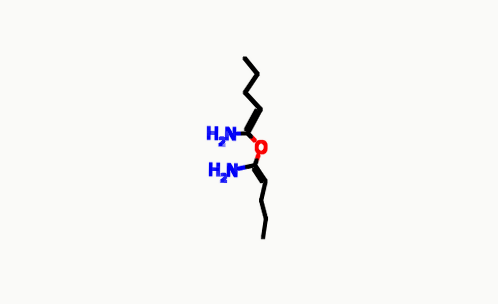 CCC/C=C(\N)O/C(N)=C/CCC